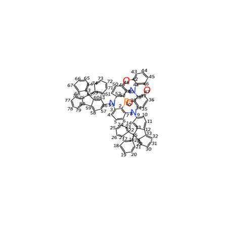 O=P12c3c4cccc3N(c3ccc5c(c3)C(c3ccccc3)(c3ccccc3)c3ccccc3-5)c3ccc5c(c31)N1c3c(cccc3O5)Oc3ccc(c2c31)N4c1ccc2c(c1)C(c1ccccc1)(c1ccccc1)c1ccccc1-2